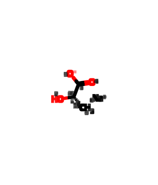 [13CH3][C@H](O)C(=O)[O-].[Na+]